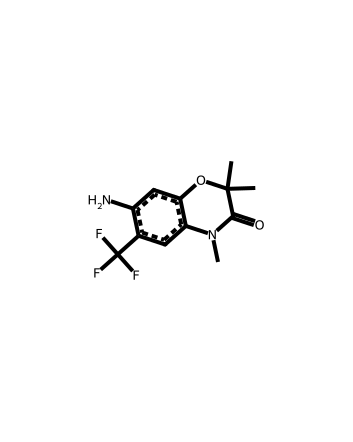 CN1C(=O)C(C)(C)Oc2cc(N)c(C(F)(F)F)cc21